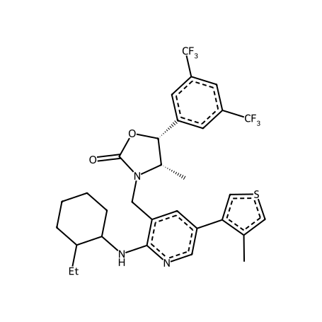 CCC1CCCCC1Nc1ncc(-c2cscc2C)cc1CN1C(=O)O[C@H](c2cc(C(F)(F)F)cc(C(F)(F)F)c2)[C@@H]1C